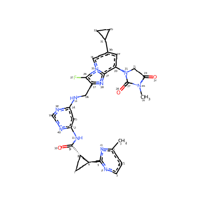 Cc1ccnc([C@H]2C[C@@H]2C(=O)Nc2cc(NCc3nc4c(N5CC(=O)N(C)C5=O)cc(C5CC5)cn4c3F)ncn2)n1